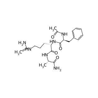 C=C(N)NCCC[C@H](NC(=O)[C@H](Cc1ccccc1)NC(C)=O)C(=O)N[C@@H](C)C(N)=O